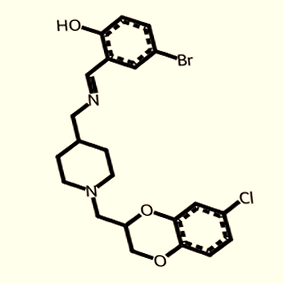 Oc1ccc(Br)cc1C=NCC1CCN(CC2COc3ccc(Cl)cc3O2)CC1